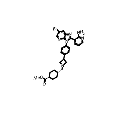 COC(=O)[C@H]1CC[C@H](CN2CC(c3ccc(-n4c(-c5cccnc5N)nc5cc(Br)cnc54)cc3)C2)CC1